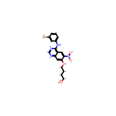 O=[N+]([O-])c1cc2c(Nc3cccc(Br)c3)ncnc2cc1OCCCCO